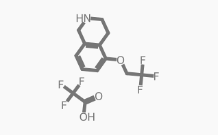 FC(F)(F)COc1cccc2c1CCNC2.O=C(O)C(F)(F)F